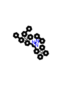 c1ccc(-c2cccc([Si](c3ccccc3)(c3cccc(-c4ccccc4)c3)c3cccc(-c4cc(-c5cccc([Si](c6ccccc6)(c6ccccc6)c6ccccc6)c5)nc(-n5c6ccccc6c6ccccc65)n4)c3)c2)cc1